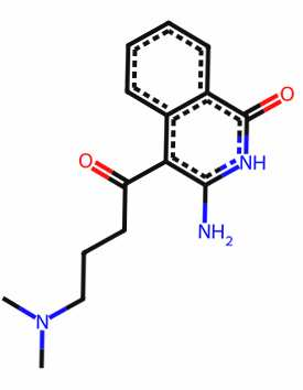 CN(C)CCCC(=O)c1c(N)[nH]c(=O)c2ccccc12